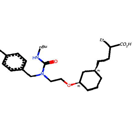 CCCCNC(=O)N(CCO[C@@H]1CCC[C@H](CCC(CC)C(=O)O)C1)Cc1ccc(C)cc1